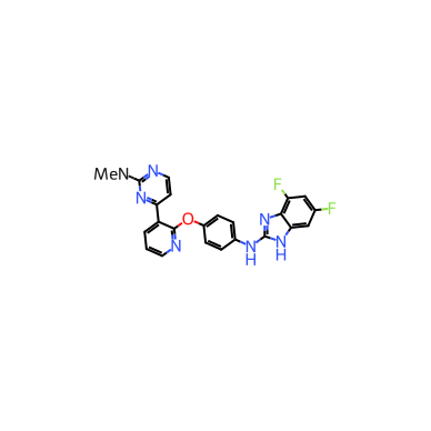 CNc1nccc(-c2cccnc2Oc2ccc(Nc3nc4c(F)cc(F)cc4[nH]3)cc2)n1